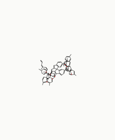 C=C/C=C(C)\C=C/C(C)C(c1ccc(C)cc1)c1ccc2c(c1)C1(C(/C=C(\C=C/C)N(C3=CCC(C)C=C3)c3ccc(C)cc3)=Cc3ccc(N(c4ccc(C)cc4)c4ccc(C)cc4)cc31)c1cc(N(c3ccc(C)cc3)c3ccc(C)cc3)ccc1-2